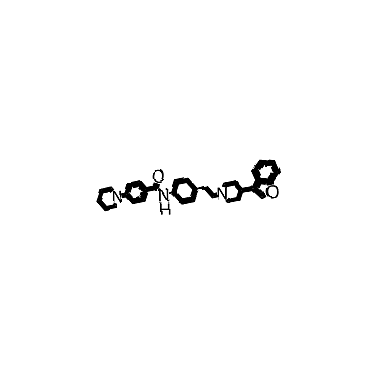 O=C(N[C@H]1CC[C@H](CCN2CCC(c3coc4ccccc34)CC2)CC1)c1ccc(N2CCCCC2)cc1